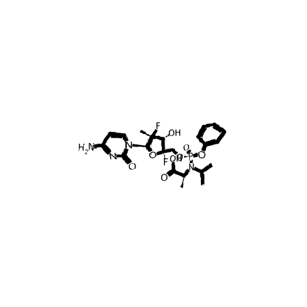 CC(C)N([C@@H](C)C(=O)O)[P@](=O)(OC[C@@]1(F)O[C@@H](n2ccc(N)nc2=O)[C@](C)(F)[C@@H]1O)Oc1ccccc1